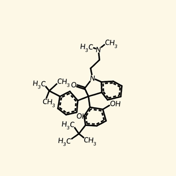 CN(C)CCN1C(=O)C(c2cc(C(C)(C)C)ccc2O)(c2cc(C(C)(C)C)ccc2O)c2ccccc21